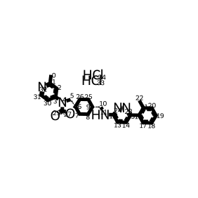 Cc1cc(N2C[C@]3(CC[C@@H](CNc4ccc(-c5ccccc5C)nn4)CC3)OC2=O)ccn1.Cl.Cl